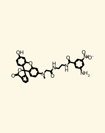 CN(CC(=O)NCCNC(=O)c1cc(N)cc([N+](=O)[O-])c1)c1ccc2c(c1)Oc1cc(O)ccc1C21OC(=O)c2ccccc21